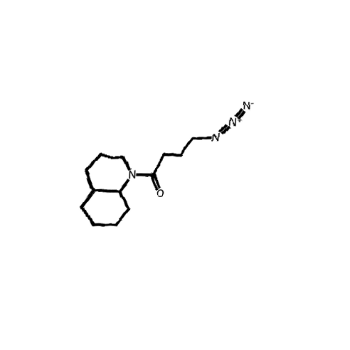 [N-]=[N+]=NCCCC(=O)N1CCCC2CCCCC21